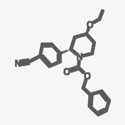 CCO[C@H]1CCN(C(=O)OCc2ccccc2)[C@H](c2ccc(C#N)cc2)C1